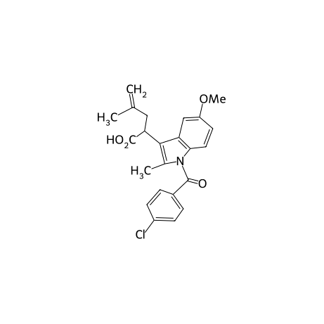 C=C(C)CC(C(=O)O)c1c(C)n(C(=O)c2ccc(Cl)cc2)c2ccc(OC)cc12